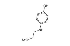 CC(=O)OCCNc1ccc(O)cc1